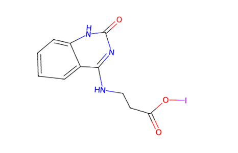 O=C(CCNc1nc(=O)[nH]c2ccccc12)OI